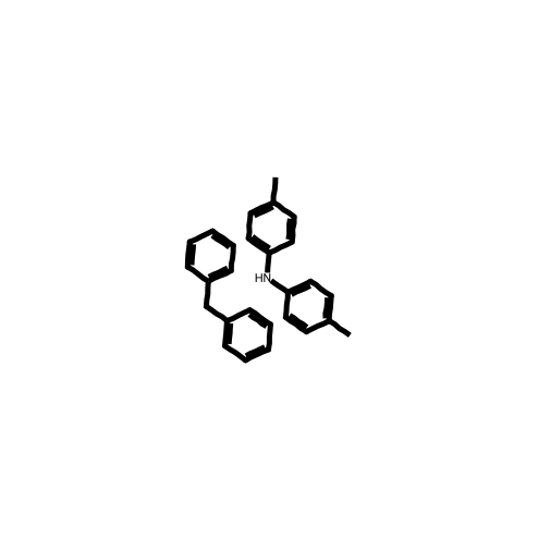 Cc1ccc(Nc2ccc(C)cc2)cc1.c1ccc(Cc2ccccc2)cc1